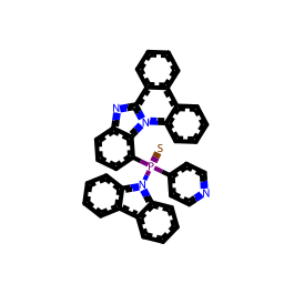 S=P(c1ccncc1)(c1cccc2nc3c4ccccc4c4ccccc4n3c12)n1c2ccccc2c2ccccc21